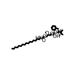 CCCCCCCCCCCCCCCCNC(=O)OCC(COP(O)Oc1ccccc1C[n+]1csc(C)c1C)OC